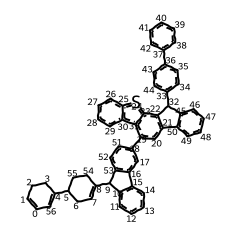 C1=CCCC(C2CC=C(C3c4ccccc4-c4cc(-c5cc6c(c7sc8ccccc8c57)C(c5ccc(-c7ccccc7)cc5)c5ccccc5-6)ccc43)CC2)=C1